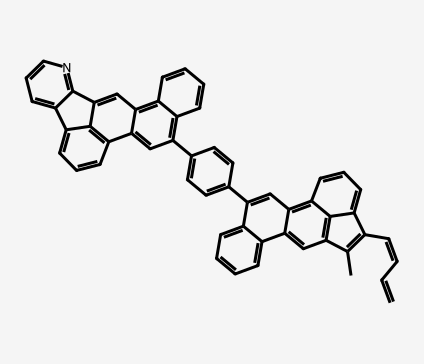 C=C/C=C\C1=C(C)c2cc3c4ccccc4c(-c4ccc(-c5cc6c7cccc8c7c(cc6c6ccccc56)-c5ncccc5-8)cc4)cc3c3cccc1c23